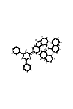 c1ccc(-c2nc(-c3ccccc3)nc(-c3ccc4c(c3)oc3cccc(N(c5cccc6ccccc56)c5cccc6ccccc56)c34)n2)cc1